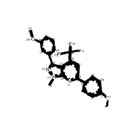 COc1ccc(-c2cc(C(F)(F)F)c3c(-c4cccc(OC)c4)nn(C)c3n2)cc1